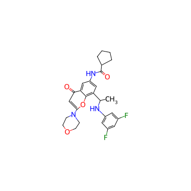 CC(Nc1cc(F)cc(F)c1)c1cc(NC(=O)C2CCCC2)cc2c(=O)cc(N3CCOCC3)oc12